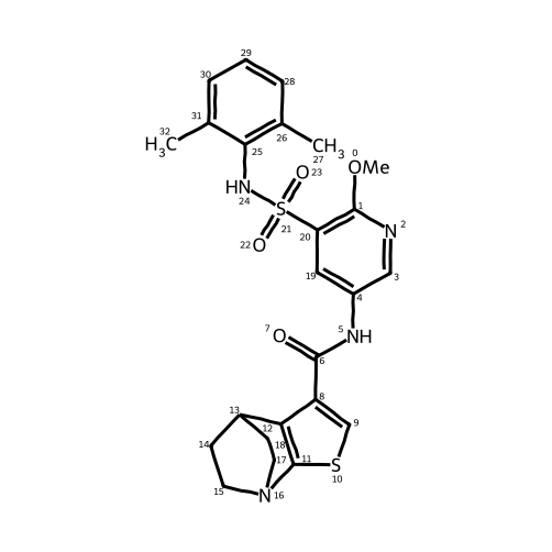 COc1ncc(NC(=O)c2csc3c2C2CCN3CC2)cc1S(=O)(=O)Nc1c(C)cccc1C